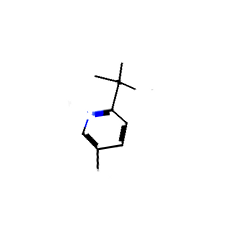 CC(C)(C(=O)[O-])c1ccc(C(F)(F)F)cn1.[K+]